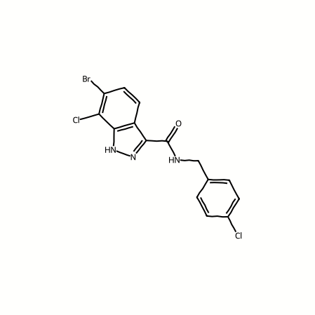 O=C(NCc1ccc(Cl)cc1)c1n[nH]c2c(Cl)c(Br)ccc12